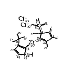 CC1=C(C)C(C)([SiH](C)C)[C]([Zr+2][c]2[nH]ccc2C(C)(C)C)=C1C.[Cl-].[Cl-]